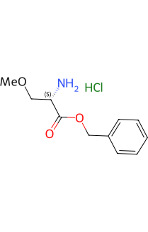 COC[C@H](N)C(=O)OCc1ccccc1.Cl